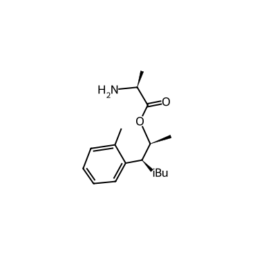 CCC(C)[C@@H](c1ccccc1C)[C@H](C)OC(=O)[C@H](C)N